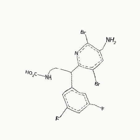 Nc1cc(Br)c(C(CNC(=O)O)c2cc(F)cc(F)c2)nc1Br